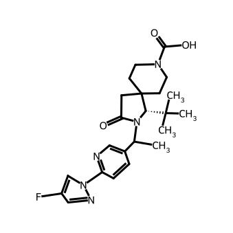 CC(c1ccc(-n2cc(F)cn2)nc1)N1C(=O)CC2(CCN(C(=O)O)CC2)[C@@H]1C(C)(C)C